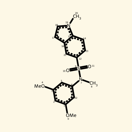 COc1cc(OC)cc(N(C)S(=O)(=O)c2ccc3c(ccn3C)c2)c1